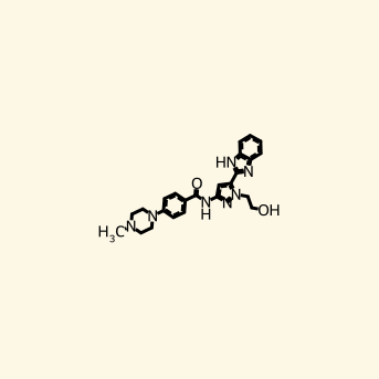 CN1CCN(c2ccc(C(=O)Nc3cc(-c4nc5ccccc5[nH]4)n(CCO)n3)cc2)CC1